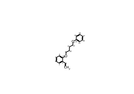 C=Cc1ccccc1OCCCCOc1ccccc1